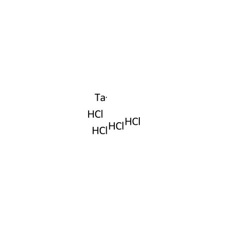 Cl.Cl.Cl.Cl.[Ta]